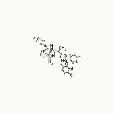 C=C(CCN(Cc1ccc(Cl)c(F)c1)S(=O)(=O)c1ccccc1)C1=NC(C)(C)[C@H](C(=O)NCCC(F)(F)F)N1